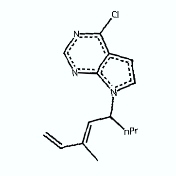 C=C/C(C)=C/C(CCC)n1ccc2c(Cl)ncnc21